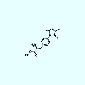 Cc1cn(C)n(-c2ccc(C[C@H](N)C(=O)OC(C)C)cc2)c1=O